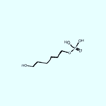 O=P(O)(O)OCCCCCCO